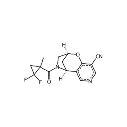 CC1(C(=O)N2C[C@@H]3C[C@H]2c2cncc(C#N)c2O3)CC1(F)F